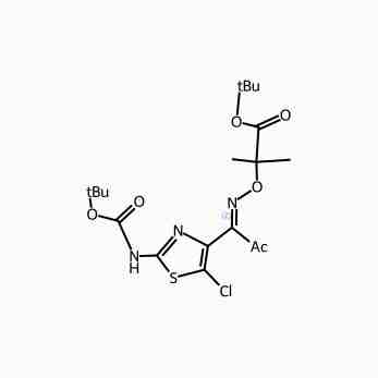 CC(=O)/C(=N\OC(C)(C)C(=O)OC(C)(C)C)c1nc(NC(=O)OC(C)(C)C)sc1Cl